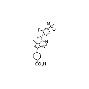 Cn1cc(C2CCN(C(=O)O)CC2)c2ncnc(Nc3ccc(S(C)(=O)=O)cc3F)c21